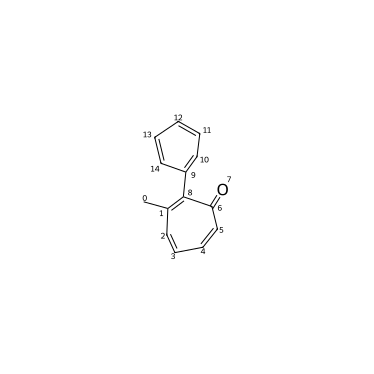 Cc1ccccc(=O)c1-c1ccccc1